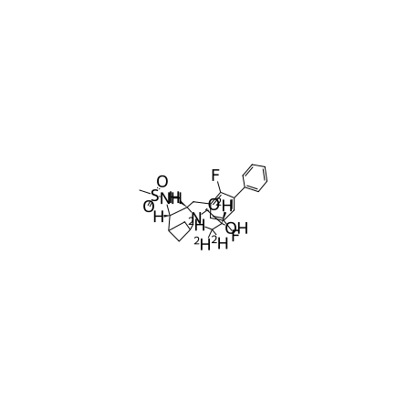 [2H]C([2H])([2H])[C@@]([2H])(O)C(=O)N1C2CC(C2)[C@H](NS(C)(=O)=O)[C@@H]1Cc1cc(F)cc(-c2ccccc2)c1F